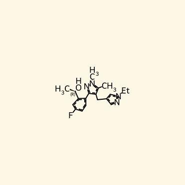 CCn1cc(Cc2c(-c3ccc(F)cc3[C@@H](C)O)nn(C)c2C)cn1